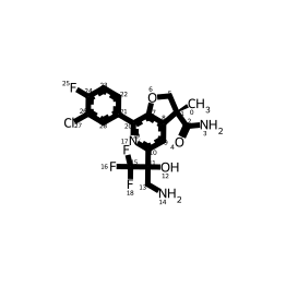 C[C@]1(C(N)=O)COc2c1cc(C(O)(CN)C(F)(F)F)nc2-c1ccc(F)c(Cl)c1